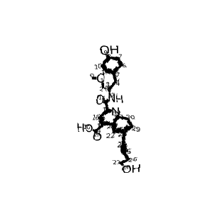 COC[C@H](Cc1ccc(O)cc1)NC(=O)c1cc(C(=O)O)c2cc(C#CCCO)ccc2n1